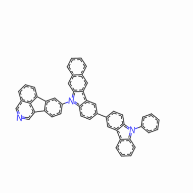 c1ccc(-n2c3ccccc3c3cc(-c4ccc5c(c4)c4cc6ccccc6cc4n5-c4ccc5c(c4)-c4cccc6cncc-5c46)ccc32)cc1